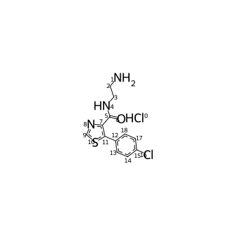 Cl.NCCNC(=O)c1ncsc1-c1ccc(Cl)cc1